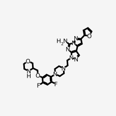 Nc1nc2c(cnn2CCN2CCN(c3cc(OCC4COCCN4)c(F)cc3F)CC2)c2cc(-c3ccco3)nn12